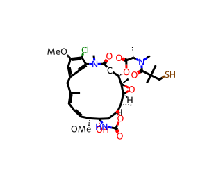 COc1cc2cc(c1Cl)N(C)C(=O)C[C@H](OC(=O)[C@H](C)N(C)C(=O)C(C)(C)CS)[C@]1(C)O[C@H]1[C@H](C)[C@@H]1C[C@@](O)(NC(=O)O1)[C@H](OC)/C=C/C=C(\C)C2